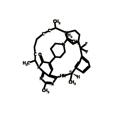 Cc1nc2c3cc(C4CCN(C(C)C)CC4)c(=O)n(c3n1)C(C)CCCCCC(C)N1CCC(CC1)C(F)(F)c1cccc(c1)[C@@H](C)N2